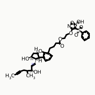 CC#CCC(C)[C@@H](O)/C=C/[C@H]1[C@@H]2c3cccc(CCCC(=O)OCCOc4no[n+](O)c4S(=O)(=O)c4ccccc4)c3O[C@@H]2C[C@@H]1O